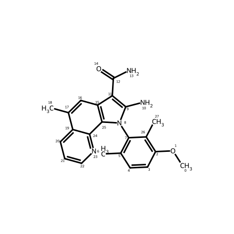 COc1ccc(C)c(-n2c(N)c(C(N)=O)c3cc(C)c4cccnc4c32)c1C